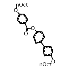 CCCCCCCCOc1ccc(C(=O)Oc2ccc(-c3ccc(OCCCCCCCC)cc3)cc2)cc1